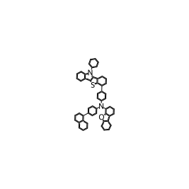 c1ccc(-n2c3ccccc3c3sc4c(-c5ccc(N(c6ccc(-c7cccc8ccccc78)cc6)c6cccc7c6oc6ccccc67)cc5)cccc4c32)cc1